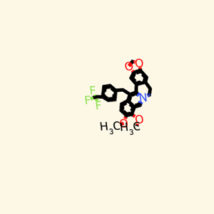 COc1ccc2c(Cc3ccc(C(F)(F)F)cc3)c3[n+](cc2c1OC)CCc1cc2c(cc1-3)OCO2